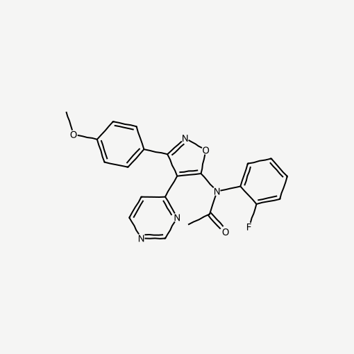 COc1ccc(-c2noc(N(C(C)=O)c3ccccc3F)c2-c2ccncn2)cc1